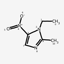 C[CH]n1c([N+](=O)[O-])cnc1C